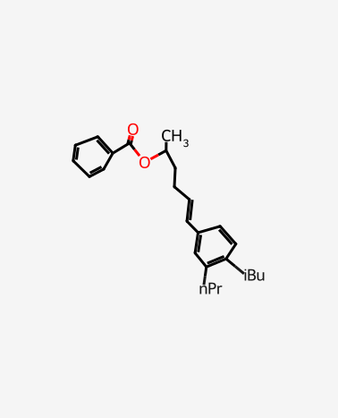 CCCc1cc(C=CCCC(C)OC(=O)c2ccccc2)ccc1C(C)CC